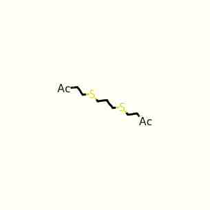 CC(=O)CCSCCCSCCC(C)=O